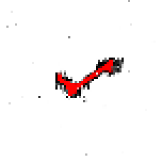 CC(C)[C@H](NC(=O)[C@H](CCCCNC(=O)CCOCCOCCOCCOCCOCCOCCOCCOCCOCCOCCOCCOCCN(C[C@H](O)[C@@H](O)[C@H](O)[C@H](O)CO)C[C@H](O)[C@@H](O)[C@H](O)[C@H](O)CO)NC(=O)[C@@H](C)CCCCNC(=O)COCCOCCNC(=O)COP(=O)([O-])OCC[N+](C)(C)C)C(=O)N[C@@H](CCCNC(N)=O)C(=O)Nc1ccc(CO)cc1